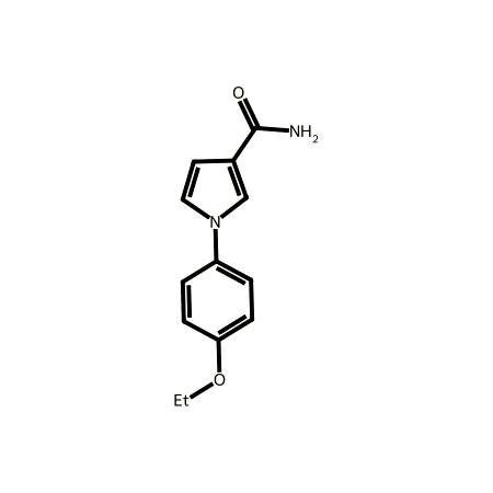 CCOc1ccc(-n2ccc(C(N)=O)c2)cc1